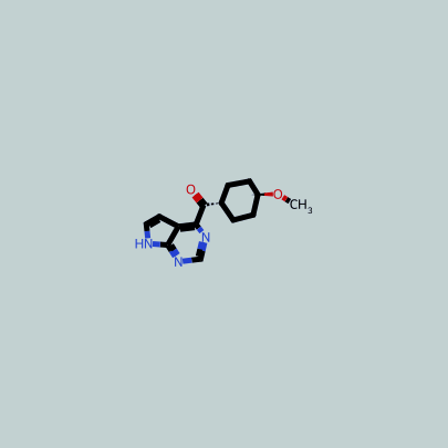 CO[C@H]1CC[C@H](C(=O)c2ncnc3[nH]ccc23)CC1